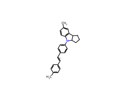 Cc1ccc(/C=C/c2ccc(N3c4ccc(C)cc4C4CCCC43)cc2)cc1